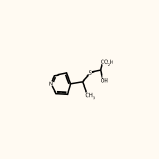 CC(SC(O)C(=O)O)c1ccncc1